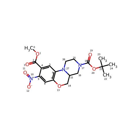 COC(=O)c1cc2c(cc1[N+](=O)[O-])OCC1CN(C(=O)OC(C)(C)C)CCN21